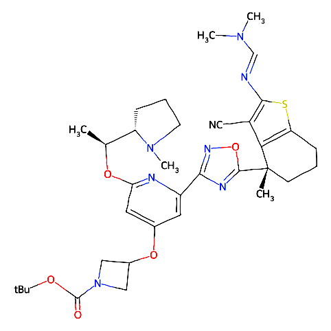 C[C@H](Oc1cc(OC2CN(C(=O)OC(C)(C)C)C2)cc(-c2noc([C@@]3(C)CCCc4sc(/N=C/N(C)C)c(C#N)c43)n2)n1)[C@@H]1CCCN1C